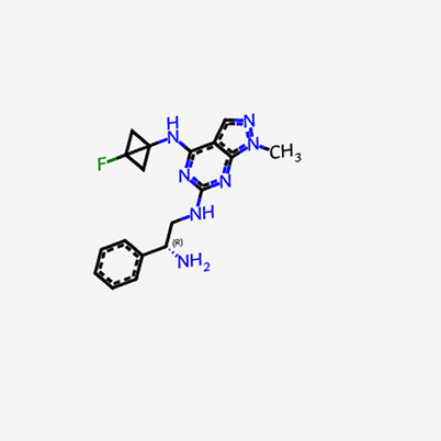 Cn1ncc2c(NC34CC3(F)C4)nc(NC[C@H](N)c3ccccc3)nc21